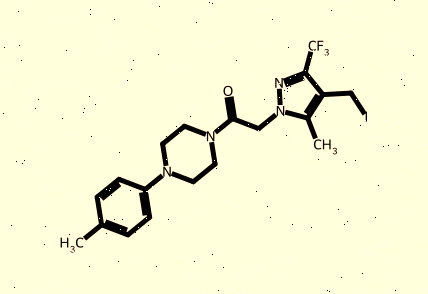 Cc1ccc(N2CCN(C(=O)Cn3nc(C(F)(F)F)c(CI)c3C)CC2)cc1